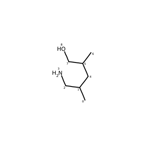 CC(CN)CC(C)CO